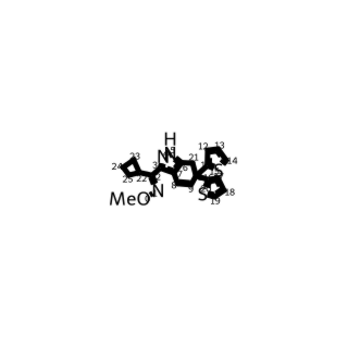 CON=C(c1n[nH]c2c1C=CC(c1cccs1)(c1cccs1)C2)C1CCC1